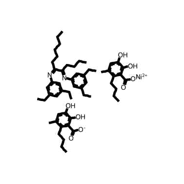 CCCCCCC(=Nc1cc(CC)cc(CC)c1)C(CCCC)=Nc1cc(CC)cc(CC)c1.CCCCc1c(C)cc(O)c(O)c1C(=O)[O-].CCCCc1c(C)cc(O)c(O)c1C(=O)[O-].[Ni+2]